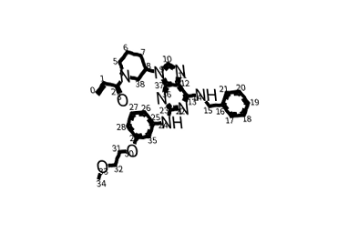 C=CC(=O)N1CCCC(n2cnc3c(NCc4ccccc4)nc(Nc4cccc(OCCOC)c4)nc32)C1